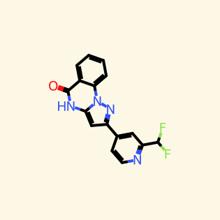 O=c1[nH]c2cc(-c3ccnc(C(F)F)c3)nn2c2ccccc12